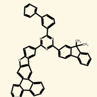 CC1(C)c2ccccc2-c2ccc(-c3nc(-c4cccc(-c5ccccc5)c4)nc(-c4ccc5oc6cc7c8ccccc8c8ccccc8c7cc6c5c4)n3)cc21